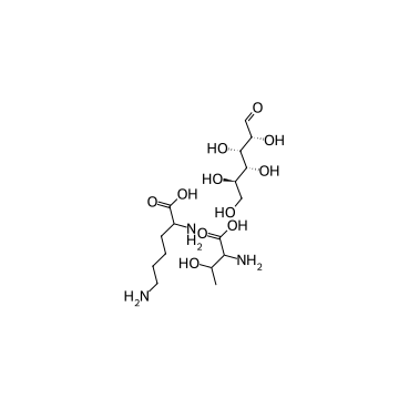 CC(O)C(N)C(=O)O.NCCCCC(N)C(=O)O.O=C[C@H](O)[C@@H](O)[C@H](O)[C@H](O)CO